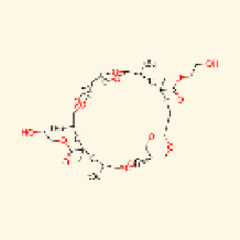 CC1(C(=O)OCCO)CCC2OCC3(CO2)COC(OC3)C(C(C)(C)C)CC(C)(C(=O)OCCO)CC(C(C)(C)C)C2OCC3(COC(OC3)C(C(C)(C)C)C1)CO2